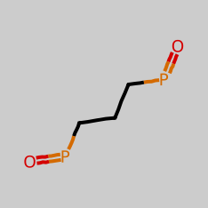 O=PCCCP=O